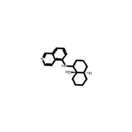 O[C@]12CCCC[C@@H]1CCCC2Nc1cccc2cnccc12